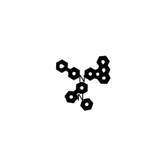 C1=CC(c2ccc(N(c3ccc4c(c3)-c3cccc5cc6ccccc6c-4c35)c3ccc4c(c3)c3ccccc3n4-c3ccccc3)cc2)=CCC1